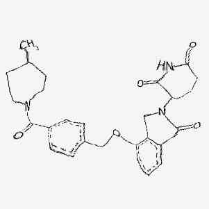 CC1CCN(C(=O)c2ccc(COc3cccc4c3CN(C3CCC(=O)NC3=O)C4=O)cc2)CC1